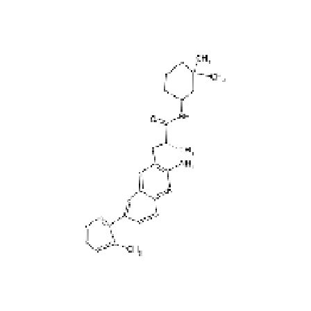 Cc1ccccc1-c1ccc2nc(N)c(C[C@@H](C)C(=O)NC3CCCC(C)(C)C3)cc2c1